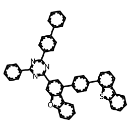 c1ccc(-c2ccc(-c3nc(-c4ccccc4)nc(-c4cc(-c5ccc(-c6cccc7c6sc6ccccc67)cc5)c5c(c4)oc4ccccc45)n3)cc2)cc1